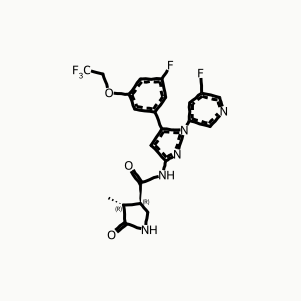 C[C@H]1C(=O)NC[C@@H]1C(=O)Nc1cc(-c2cc(F)cc(OCC(F)(F)F)c2)n(-c2cncc(F)c2)n1